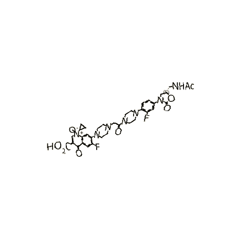 CC(=O)NC[C@H]1CN(c2ccc(N3CCN(C(=O)CN4CCN(c5cc6c(cc5F)C(=O)C(C(=O)O)=C[N+]6([O-])C5CC5)CC4)CC3)c(F)c2)C(=O)O1